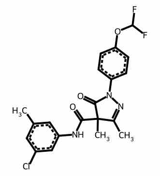 CC1=NN(c2ccc(OC(F)F)cc2)C(=O)C1(C)C(=O)Nc1cc(C)cc(Cl)c1